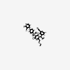 CCOCc1nc(=O)c(S(=O)(=O)c2ccc(-c3ccnc(F)c3C)cc2)c(O)n1C(CC)c1cccc(C#N)c1